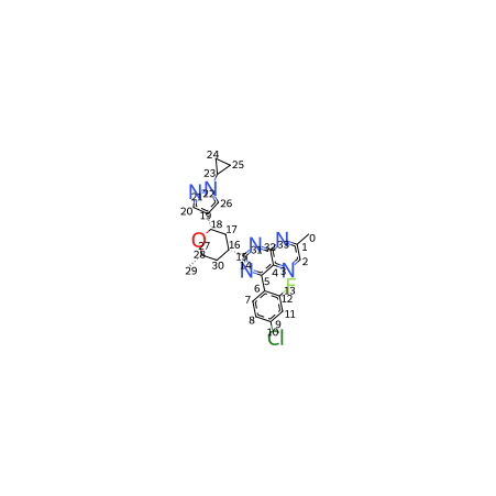 Cc1cnc2c(-c3ccc(Cl)cc3F)nc([C@H]3C[C@@H](c4cnn(C5CC5)c4)O[C@@H](C)C3)nc2n1